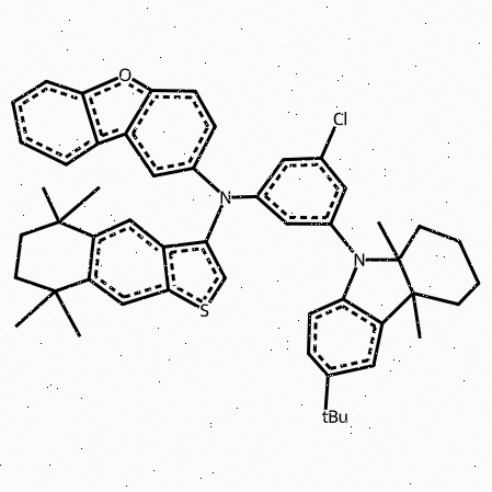 CC(C)(C)c1ccc2c(c1)C1(C)CCCCC1(C)N2c1cc(Cl)cc(N(c2ccc3oc4ccccc4c3c2)c2csc3cc4c(cc23)C(C)(C)CCC4(C)C)c1